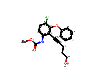 CC(C)(C)OC(=O)Nc1ccc(Cl)c(Oc2ccccc2)c1C#CCCCO